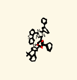 CC1(C)c2ccccc2-c2cc3c4ccccc4n(-c4ccc5sc6cccc(-c7nc(-c8cccc(-c9ccccc9)c8)nc(-c8cccc(-c9ccccc9)c8)n7)c6c5c4)c3cc21